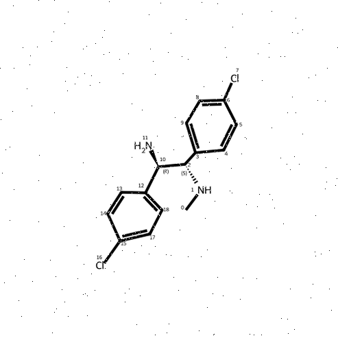 CN[C@@H](c1ccc(Cl)cc1)[C@H](N)c1ccc(Cl)cc1